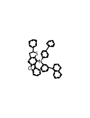 c1ccc(-c2ccc(N(c3cccc(-c4cccc5ccccc45)c3)c3c4c(cc5oc6ccccc6c35)CC(c3ccccc3)S4)cc2)cc1